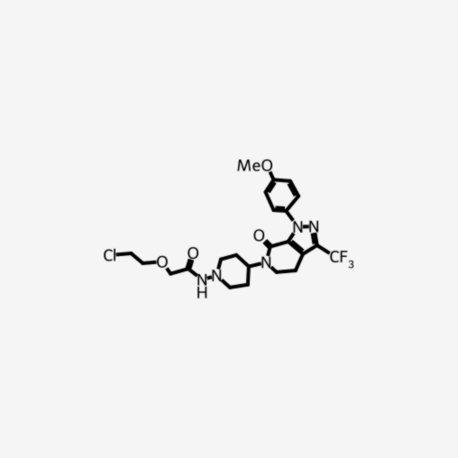 COc1ccc(-n2nc(C(F)(F)F)c3c2C(=O)N(C2CCN(NC(=O)COCCCl)CC2)CC3)cc1